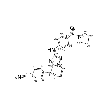 N#Cc1ccc(-c2cccn3nc(Nc4ccc(C(=O)N5CCCC5)cc4)nc23)cc1